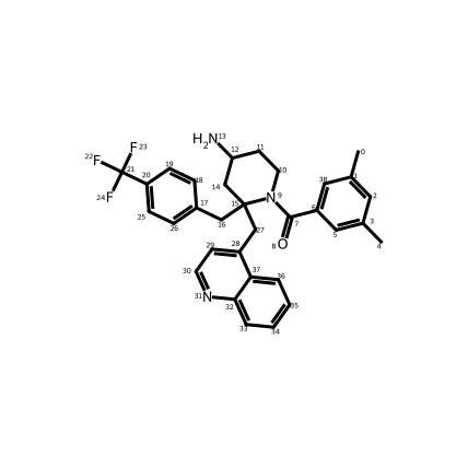 Cc1cc(C)cc(C(=O)N2CCC(N)CC2(Cc2ccc(C(F)(F)F)cc2)Cc2ccnc3ccccc23)c1